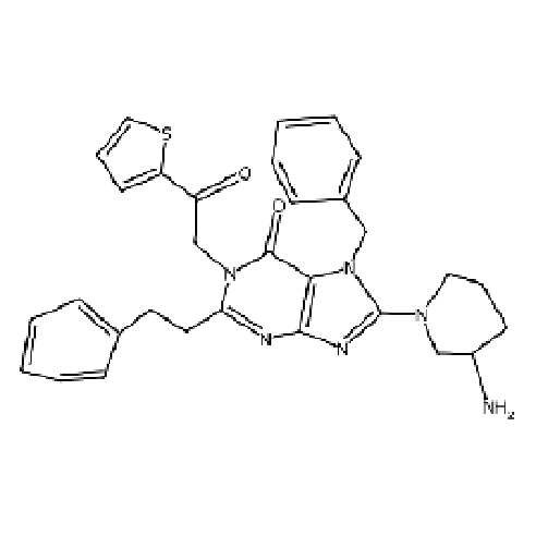 NC1CCCN(c2nc3nc(CCc4ccccc4)n(CC(=O)c4cccs4)c(=O)c3n2Cc2ccccc2)C1